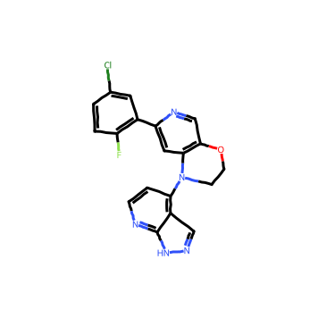 Fc1ccc(Cl)cc1-c1cc2c(cn1)OCCN2c1ccnc2[nH]ncc12